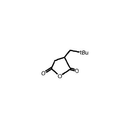 [CH2]C(C)(C)CC1CC(=O)OC1=O